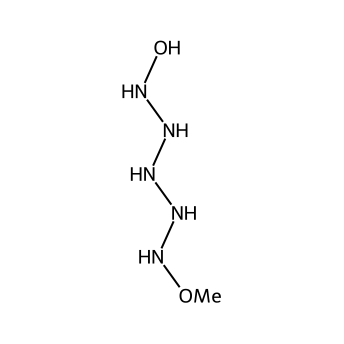 CONNNNNO